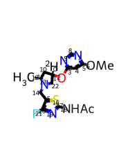 [2H][C@]1(Oc2cc(OC)ncn2)C[C@H](C)N(Cc2sc(NC(C)=O)nc2F)C1